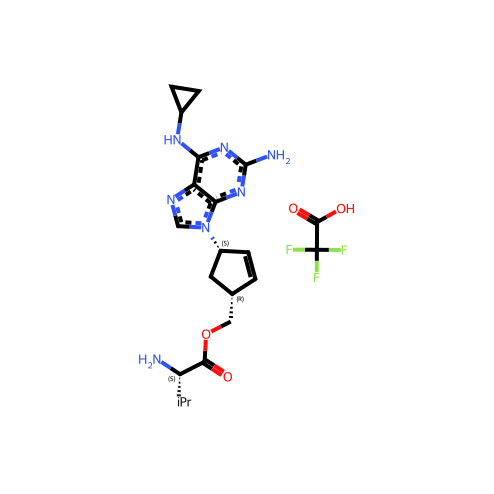 CC(C)[C@H](N)C(=O)OC[C@H]1C=C[C@@H](n2cnc3c(NC4CC4)nc(N)nc32)C1.O=C(O)C(F)(F)F